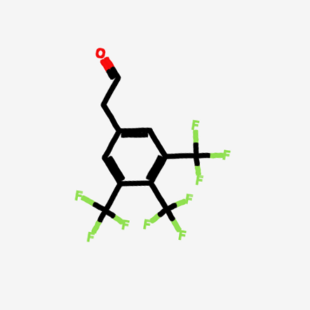 O=CCc1cc(C(F)(F)F)c(C(F)(F)F)c(C(F)(F)F)c1